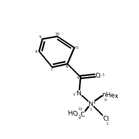 CCCCCC[N+](Cl)([N]C(=O)c1ccccc1)C(=O)O